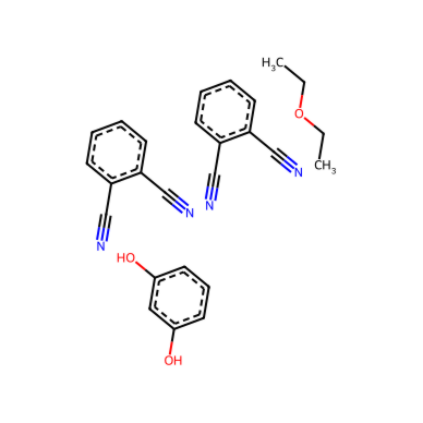 CCOCC.N#Cc1ccccc1C#N.N#Cc1ccccc1C#N.Oc1cccc(O)c1